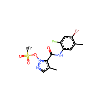 CCCS(=O)(=O)On1ncc(C)c1C(=O)Nc1cc(C)c(Br)cc1F